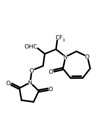 O=CC(CON1C(=O)CCC1=O)C(N1COCC=CC1=O)C(F)(F)F